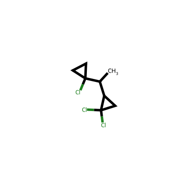 C[C](C1CC1(Cl)Cl)C1(Cl)CC1